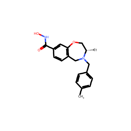 CC[C@H]1COc2cc(C(=O)NO)ccc2CN1Cc1ccc(C)cc1